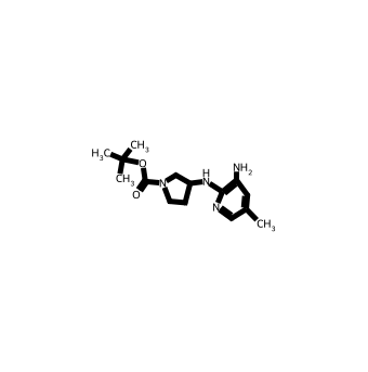 Cc1cnc(NC2CCN(C(=O)OC(C)(C)C)C2)c(N)c1